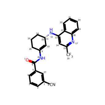 N#Cc1cccc(C(=O)NC2=C[C@@H](Nc3cc(C(F)(F)F)nc4ccccc34)CCC2)c1